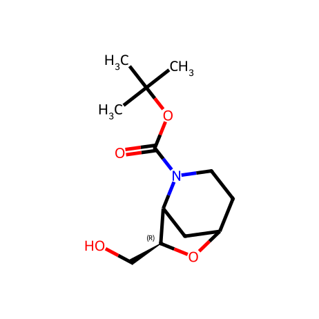 CC(C)(C)OC(=O)N1CCC2CC1[C@H](CO)O2